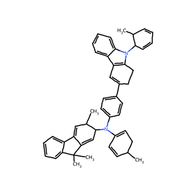 CC1C=CC(N(c2ccc(C3=Cc4c(n(C5C=CC=CC5C)c5ccccc45)CC3)cc2)C2C=C3C(=CC2C)c2ccccc2C3(C)C)=CC1